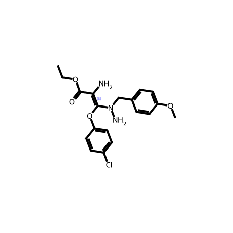 CCOC(=O)/C(N)=C(\Oc1ccc(Cl)cc1)N(N)Cc1ccc(OC)cc1